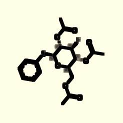 CC(=O)OC[C@H]1O[C@@H](Sc2ccccc2)[C@H](OC(C)=O)[C@@H](F)[C@@H]1OC(C)=O